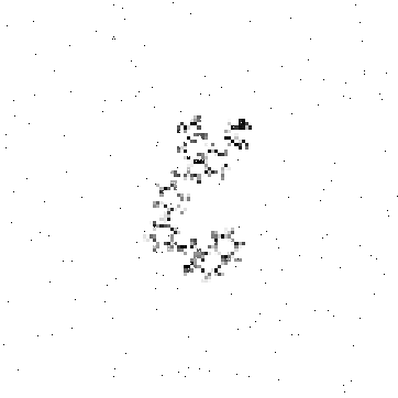 CC(C)(C)OC(=O)c1ccc2nc(CN3CCC(c4cccc(OCc5c(F)cnc6ccccc56)n4)CC3)n(CC3CCO3)c2c1